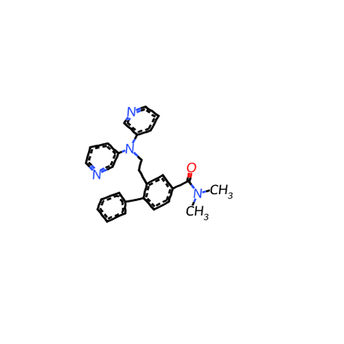 CN(C)C(=O)c1ccc(-c2ccccc2)c(CCN(c2cccnc2)c2cccnc2)c1